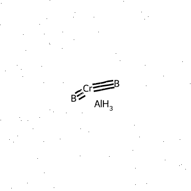 [AlH3].[B]#[Cr]#[B]